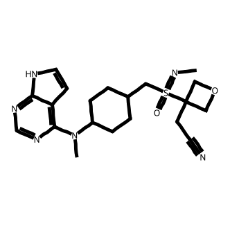 CN=S(=O)(CC1CCC(N(C)c2ncnc3[nH]ccc23)CC1)C1(CC#N)COC1